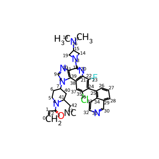 C=CC(=O)N1CCC(n2cnc3c(N4CC(N(C)C)C4)nc4c(F)c(-c5cccc6cnccc56)c(Cl)cc4c32)CC1CC#N